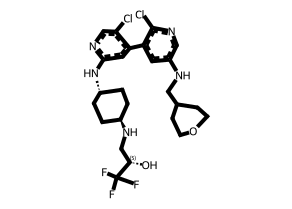 O[C@@H](CN[C@H]1CC[C@H](Nc2cc(-c3cc(NCC4CCOCC4)cnc3Cl)c(Cl)cn2)CC1)C(F)(F)F